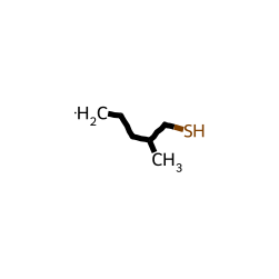 [CH2]CCC(C)CS